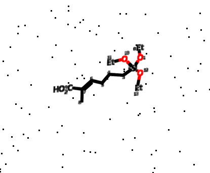 CCO[Si](CCCC=C(C)C(=O)O)(OCC)OCC